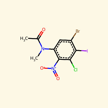 CC(=O)N(C)c1cc(Br)c(I)c(Cl)c1[N+](=O)[O-]